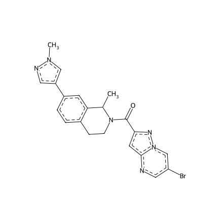 CC1c2cc(-c3cnn(C)c3)ccc2CCN1C(=O)c1cc2ncc(Br)cn2n1